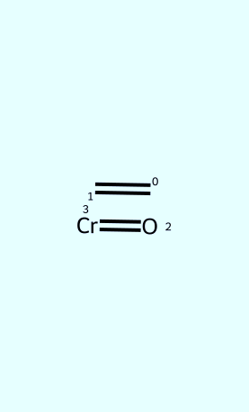 C=C.[O]=[Cr]